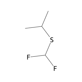 CC(C)SC(F)F